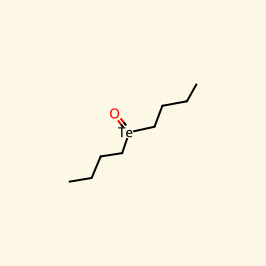 CCCC[Te](=O)CCCC